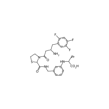 CC(C)C(Nc1cccc(CNC(=O)C2SCCN2C(=O)CC(N)Cc2cc(F)c(F)cc2F)c1)C(=O)O